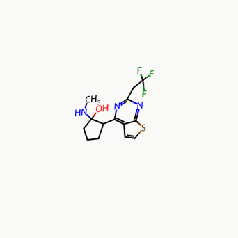 CNC1(O)CCCC1c1nc(CC(F)(F)F)nc2sccc12